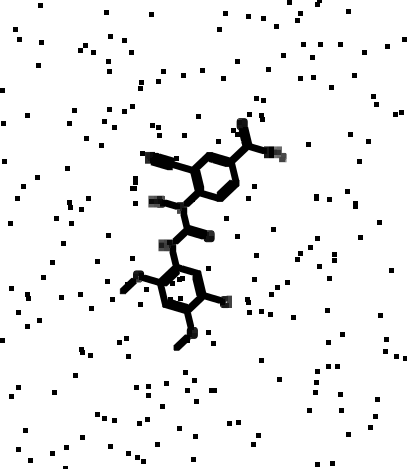 COc1cc(OC)c(NC(=O)N(S)c2ccc(C(N)=O)cc2C#N)cc1Cl